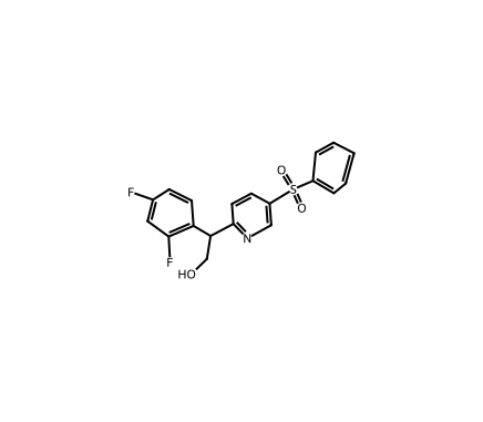 O=S(=O)(c1ccccc1)c1ccc(C(CO)c2ccc(F)cc2F)nc1